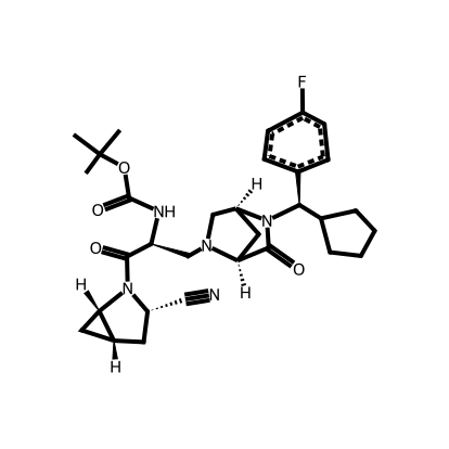 CC(C)(C)OC(=O)N[C@@H](CN1C[C@@H]2C[C@H]1C(=O)N2[C@@H](c1ccc(F)cc1)C1CCCC1)C(=O)N1[C@H](C#N)C[C@@H]2C[C@@H]21